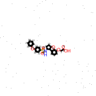 O=C(O)COc1cccc2c1OC1CCC(NS(=O)(=O)c3ccc(Oc4ccccc4)cc3)C21